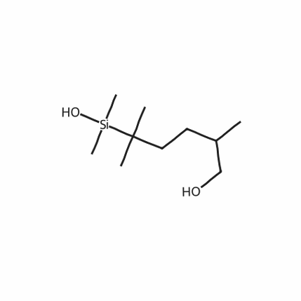 CC(CO)CCC(C)(C)[Si](C)(C)O